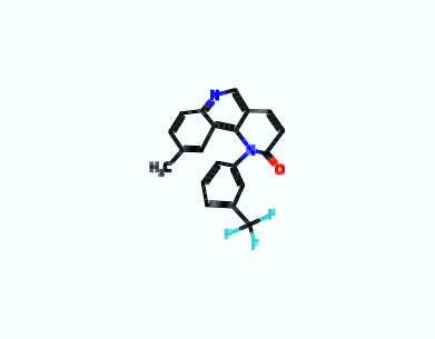 Cc1ccc2ncc3ccc(=O)n(-c4cccc(C(F)(F)F)c4)c3c2c1